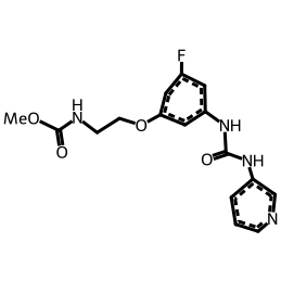 COC(=O)NCCOc1cc(F)cc(NC(=O)Nc2cccnc2)c1